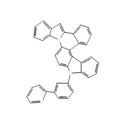 c1ccc(-c2cccc(-n3c4ccccc4c4c5c6ccccc6c6cc7ccccc7n6c5ccc43)c2)nc1